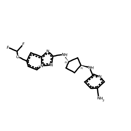 Nc1ccc(N[C@H]2CC[C@H](Nc3nc4cc(OC(F)F)ccn4n3)C2)nc1